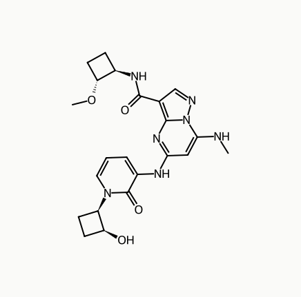 CNc1cc(Nc2cccn([C@@H]3CC[C@@H]3O)c2=O)nc2c(C(=O)N[C@@H]3CC[C@H]3OC)cnn12